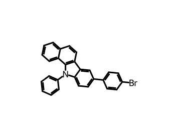 Brc1ccc(-c2ccc3c(c2)c2ccc4ccccc4c2n3-c2ccccc2)cc1